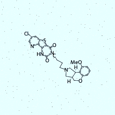 COc1cccc2c1[C@@H]1CN(CCCCn3c(=O)[nH]c4c(sc5cc(Cl)cnc54)c3=O)C[C@@H]1CO2